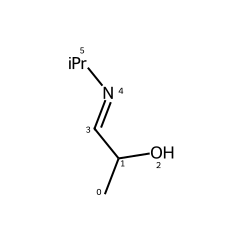 CC(O)C=NC(C)C